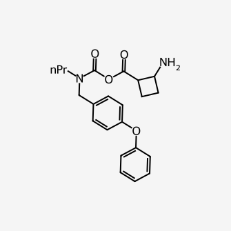 CCCN(Cc1ccc(Oc2ccccc2)cc1)C(=O)OC(=O)C1CCC1N